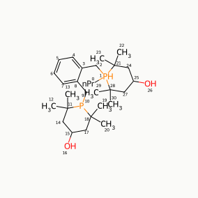 CCC[PH]1(Cc2ccccc2CP2C(C)(C)CC(O)CC2(C)C)C(C)(C)CC(O)CC1(C)C